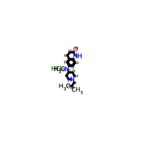 CC(C)CN1CCC(N(C)c2ccc3c(c2)CCC(=O)N3)CC1.Cl